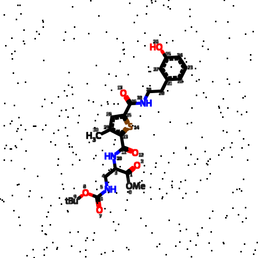 COC(=O)C(CNC(=O)OC(C)(C)C)NC(=O)c1sc(C(=O)NCCc2cccc(O)c2)cc1C